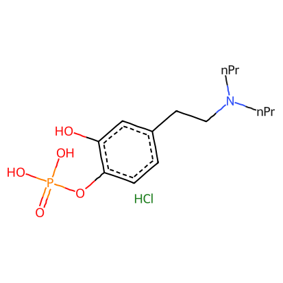 CCCN(CCC)CCc1ccc(OP(=O)(O)O)c(O)c1.Cl